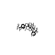 CC(C)(Oc1ccc(C(F)(F)F)cc1)c1nnc(-c2cnccc2C(F)(F)F)o1